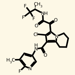 Cc1cc(NC(=O)c2c(Cl)c(C(=O)C(=O)N[C@@H](C)C(F)(F)F)n3c2CCCC3)cnc1F